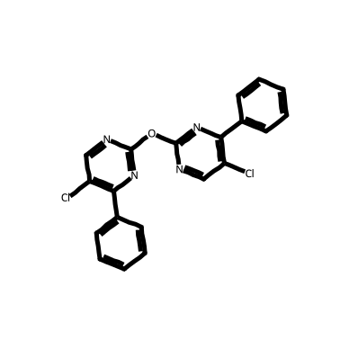 Clc1cnc(Oc2ncc(Cl)c(-c3ccccc3)n2)nc1-c1ccccc1